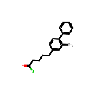 Cc1cc(CCCCC(=O)Cl)ccc1-c1ccccc1